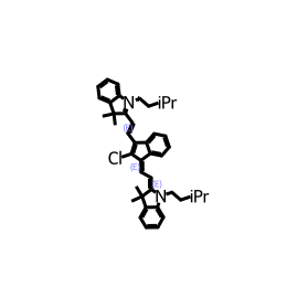 CC(C)CCN1/C(=C/C=C2C(Cl)=C(/C=C/C3=[N+](CCC(C)C)c4ccccc4C3(C)C)c3ccccc3/2)C(C)(C)c2ccccc21